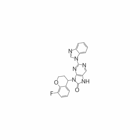 O=c1[nH]c2cnc(-n3cnc4ccccc43)nc2n1C1CCOc2c(F)cccc21